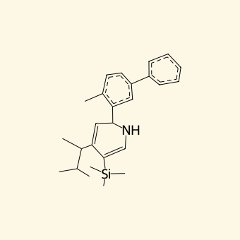 Cc1ccc(-c2ccccc2)cc1C1C=C(C(C)C(C)C)C([Si](C)(C)C)=CN1